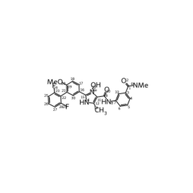 CNC(=O)c1cccc(NC(=O)c2c(C)[nH]c(-c3ccc(OC)c(-c4c(F)cccc4F)c3)[n+]2O)c1